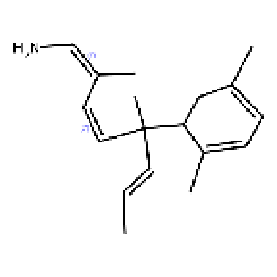 CC=CC(C)(/C=C\C(C)=C/N)C1CC(C)=CC=C1C